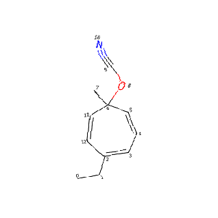 CCC1=CC=CC(C)(OC#N)C=C1